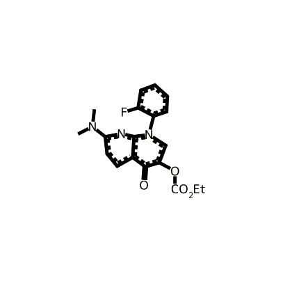 CCOC(=O)Oc1cn(-c2ccccc2F)c2nc(N(C)C)ccc2c1=O